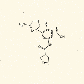 C[C@@]1(c2cc(NC(=O)C3CCOC3)ccc2F)COCC(N)=N1.O=CO